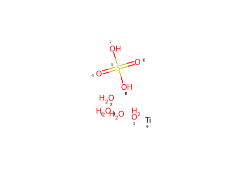 O.O.O.O.O=S(=O)(O)O.[Ti]